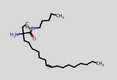 CCCCCCCC/C=C\CCCCCCC(N)(CC)C(=O)NCCCCC